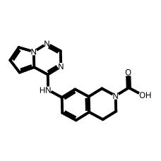 O=C(O)N1CCc2ccc(Nc3ncnn4cccc34)cc2C1